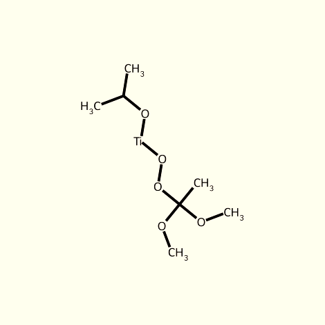 COC(C)(OC)O[O][Ti][O]C(C)C